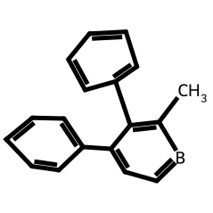 Cc1bccc(-c2ccccc2)c1-c1ccccc1